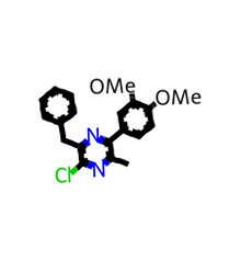 COc1ccc(-c2nc(Cc3ccccc3)c(Cl)nc2C)cc1OC